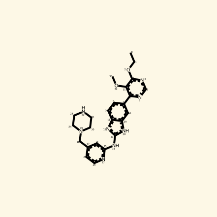 CCOc1ncnc(-c2ccc3nc(Nc4cc(CN5CCNCC5)ccn4)[nH]c3c2)c1OC